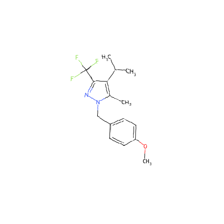 COc1ccc(Cn2nc(C(F)(F)F)c(C(C)C)c2C)cc1